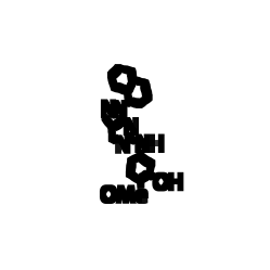 COc1ccc(Nc2ncc3cnn(-c4cccc5ccccc45)c3n2)cc1O